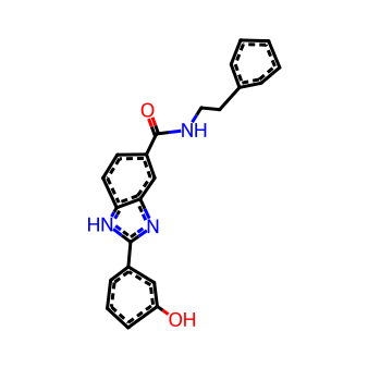 O=C(NCCc1ccccc1)c1ccc2[nH]c(-c3cccc(O)c3)nc2c1